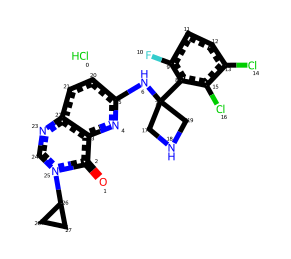 Cl.O=c1c2nc(NC3(c4c(F)ccc(Cl)c4Cl)CNC3)ccc2ncn1C1CC1